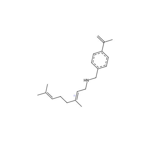 C=C(C)c1ccc(CNC/C=C(\C)CCC=C(C)C)cc1